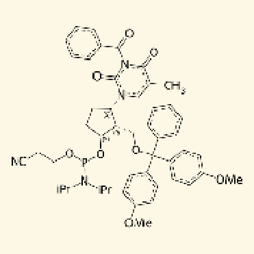 COc1ccc(C(OC[C@@H]2[C@@H](OP(OCCC#N)N(C(C)C)C(C)C)CC[C@@H]2n2cc(C)c(=O)n(C(=O)c3ccccc3)c2=O)(c2ccccc2)c2ccc(OC)cc2)cc1